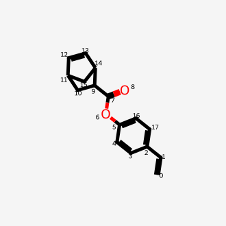 C=Cc1ccc(OC(=O)C2CC3C=CC2C3)cc1